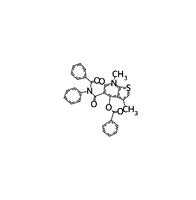 Cc1csc2c1c(OC(=O)c1ccccc1)c(C(=O)N(C(=O)c1ccccc1)c1ccccc1)c(=O)n2C